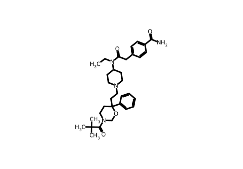 CCN(C(=O)Cc1ccc(C(N)=O)cc1)C1CCN(CCC2(c3ccccc3)CCN(C(=O)C(C)(C)C)CO2)CC1